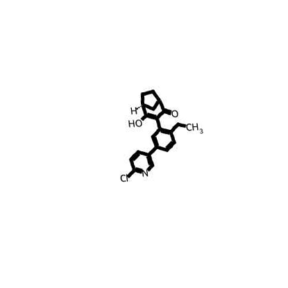 CCc1ccc(-c2ccc(Cl)nc2)cc1C1=C(O)[C@H]2CCC(C2)C1=O